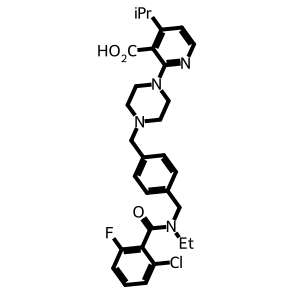 CCN(Cc1ccc(CN2CCN(c3nccc(C(C)C)c3C(=O)O)CC2)cc1)C(=O)c1c(F)cccc1Cl